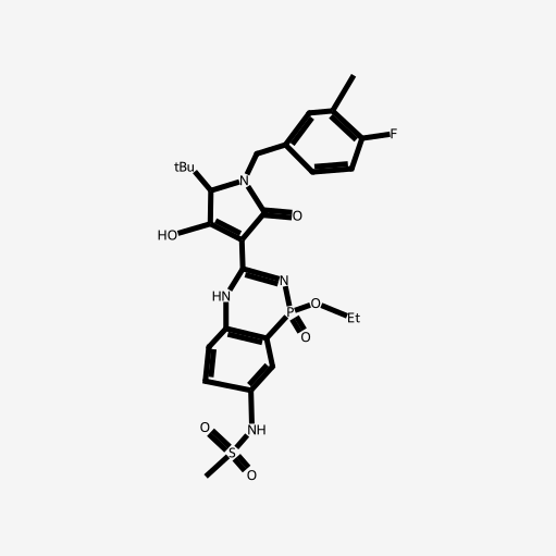 CCOP1(=O)N=C(C2=C(O)C(C(C)(C)C)N(Cc3ccc(F)c(C)c3)C2=O)Nc2ccc(NS(C)(=O)=O)cc21